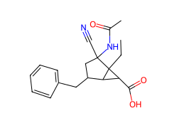 CCC12C(C(=O)O)C1C(Cc1ccccc1)CC2(C#N)NC(C)=O